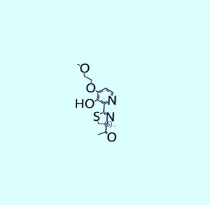 COCCOc1ccnc(C2=N[C@@](C)(C(C)=O)CS2)c1O